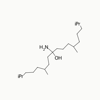 CC(C)CCCC(C)CCCC(N)(O)CCC(C)CCCC(C)C